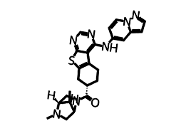 C[C@H]1C2CN(C)[C@@H]1CN2C(=O)[C@H]1CCc2c(sc3ncnc(Nc4ccn5nccc5c4)c23)C1